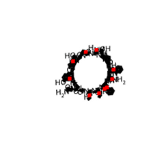 CCCC[C@@H]1C(=O)N(C)[C@H](CCCC)C(=O)N[C@@H](C)C(=O)N[C@@H](C(=O)NCC(N)=O)CSCC(=O)N[C@@H](Cc2ccc(O)cc2)C(=O)N2CCCC2C(=O)N[C@H](CC(=O)O)C(=O)N2CCC[C@H]2C(=O)N[C@H](CN)C(=O)N[C@@H](CC(=O)O)C(=O)N2CCCC2C(=O)N[C@H](Cc2c[nH]c3ccccc23)C(=O)N[C@@H](CCN)C(=O)N[C@@H](Cc2c[nH]c3ccccc23)C(=O)N1C